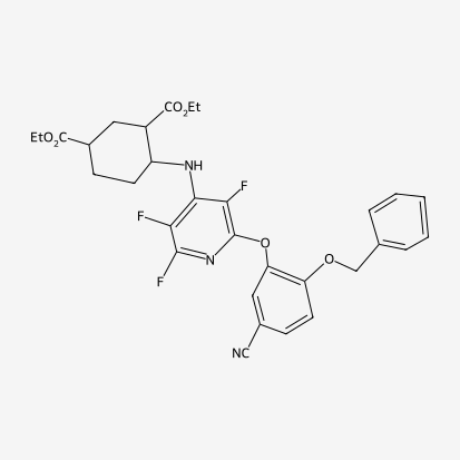 CCOC(=O)C1CCC(Nc2c(F)c(F)nc(Oc3cc(C#N)ccc3OCc3ccccc3)c2F)C(C(=O)OCC)C1